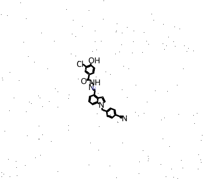 N#Cc1ccc(Cn2ccc3c(/C=N/NC(=O)c4ccc(O)c(Cl)c4)cccc32)cc1